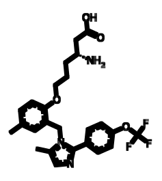 Cc1ccc(OCCC[C@@H](N)CC(=O)O)c(Cn2c(C)cnc2-c2ccc(OC(F)(F)F)cc2)c1